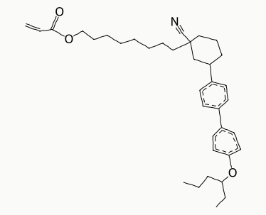 C=CC(=O)OCCCCCCCCC1(C#N)CCCC(c2ccc(-c3ccc(OC(CC)CCC)cc3)cc2)C1